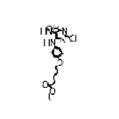 CCOC(=O)CCCCOc1ccc(Nc2nc(Cl)ncc2NO)cc1